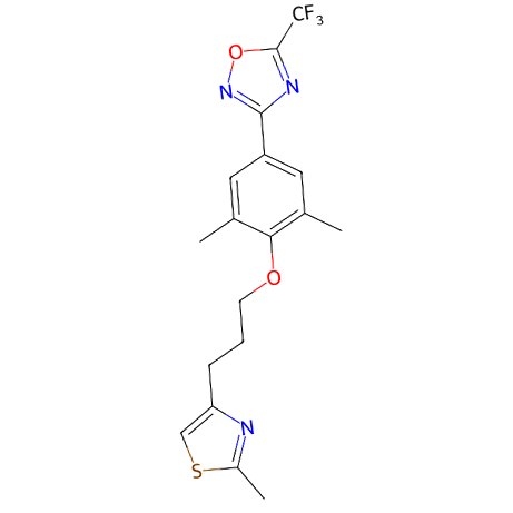 Cc1nc(CCCOc2c(C)cc(-c3noc(C(F)(F)F)n3)cc2C)cs1